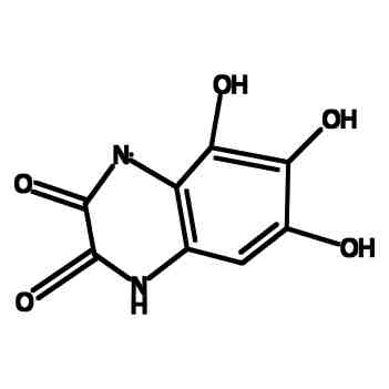 O=C1[N]c2c(cc(O)c(O)c2O)NC1=O